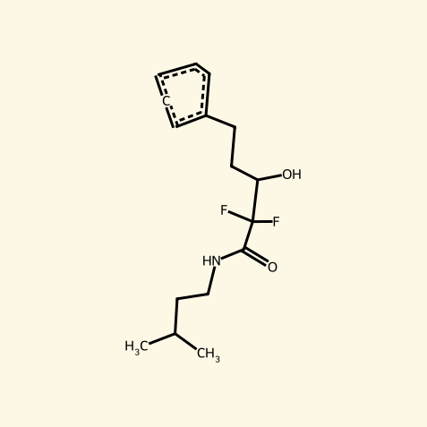 CC(C)CCNC(=O)C(F)(F)C(O)CCc1ccccc1